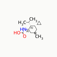 C1CC1.CC(C)[C@@H]1CC[C@@H](C)C[C@H]1NC(=O)O